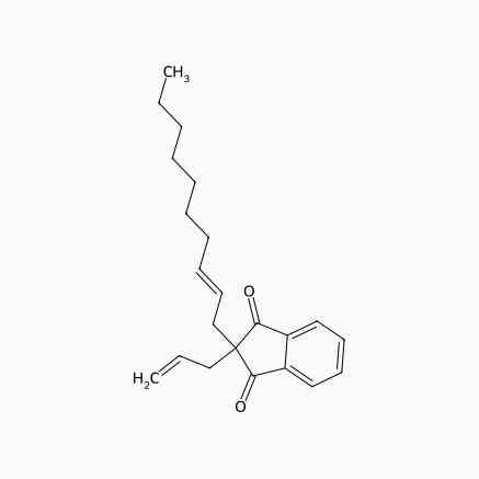 C=CCC1(CC=CCCCCCCC)C(=O)c2ccccc2C1=O